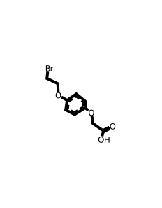 O=C(O)COc1ccc(OCCBr)cc1